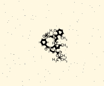 Cc1cccc(C)c1-c1cc2nc(n1)NS(=O)(=O)c1cccc(c1)C(=O)N1CCN(C(=O)OC(C)(C)C)C(CC(C)C)[C@H](C1)O2